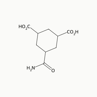 NC(=O)C1CC(C(=O)O)CC(C(=O)O)C1